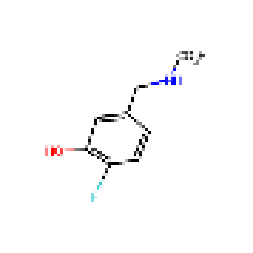 O=C(O)NCc1ccc(F)c(O)c1